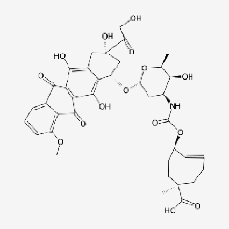 COc1cccc2c1C(=O)c1c(O)c3c(c(O)c1C2=O)C[C@@](O)(C(=O)CO)C[C@@H]3O[C@H]1C[C@H](NC(=O)O[C@H]2/C=C/CC[C@@](C)(C(=O)O)CC2)[C@H](O)[C@H](C)O1